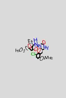 CC[C@@H](NC(=O)N1CC(=O)NC[C@@H](Cc2cc(Cl)ccc2OC)C1=O)c1ccc(C(=O)O)o1